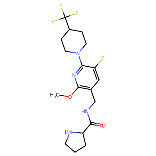 COc1nc(N2CCC(C(F)(F)F)CC2)c(F)cc1CNC(=O)C1CCCN1